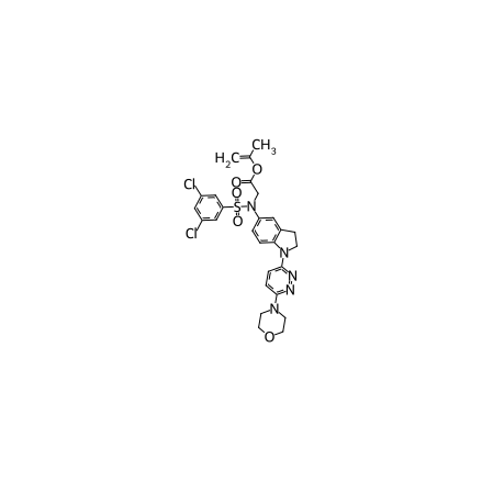 C=C(C)OC(=O)CN(c1ccc2c(c1)CCN2c1ccc(N2CCOCC2)nn1)S(=O)(=O)c1cc(Cl)cc(Cl)c1